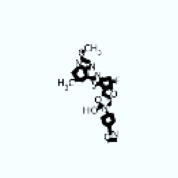 COc1cnc2c(-c3nc4cc(F)c5c(c4s3)C[C@H](CN(C(=O)O)c3ccc(-c4ncco4)cc3)O5)cc(C)cc2n1